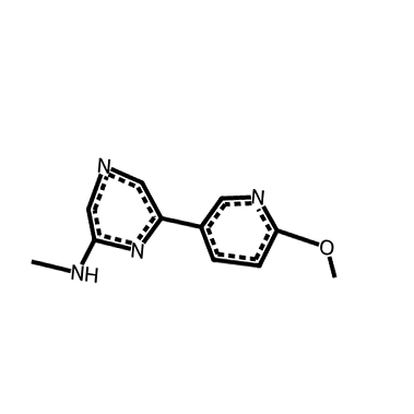 CNc1cncc(-c2ccc(OC)nc2)n1